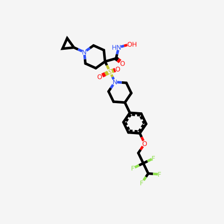 O=C(NO)C1(S(=O)(=O)N2CCC(c3ccc(OCC(F)(F)C(F)F)cc3)CC2)CCN(C2CC2)CC1